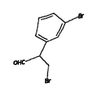 O=CC(CBr)c1cccc(Br)c1